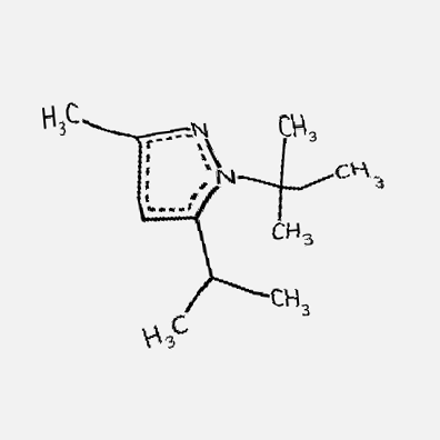 Cc1cc(C(C)C)n(C(C)(C)C)n1